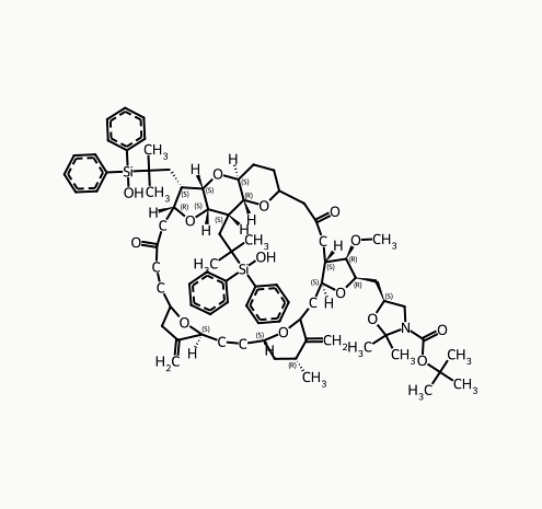 C=C1C2C[C@@H]3O[C@H](C[C@H]4CN(C(=O)OC(C)(C)C)C(C)(C)O4)[C@H](OC)[C@H]3CC(=O)CC3CC[C@@H]4O[C@H]5[C@@H](CC(C)(C)[Si](O)(c6ccccc6)c6ccccc6)[C@@H](CC(=O)CCC6CC(=C)[C@H](CC[C@@H](C[C@H]1C)O2)O6)O[C@H]5[C@@H](CC(C)(C)[Si](O)(c1ccccc1)c1ccccc1)[C@H]4O3